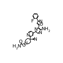 N#CC1(c2cc(-c3cnc(N)c(-c4cc(-c5ccccc5F)no4)n3)ccn2)CCN(OC(N)=O)CC1